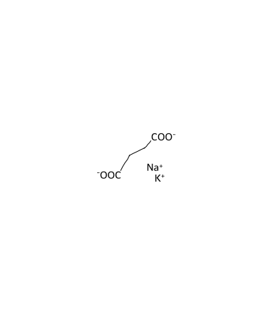 O=C([O-])CCC(=O)[O-].[K+].[Na+]